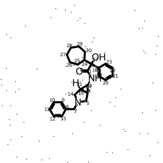 O=C(N[C@H]1C2CN(Cc3ccccc3)C[C@@H]21)C(O)(c1ccccc1)C1CCCCCC1